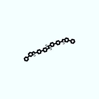 c1ccc(-c2ccc3cc(-c4ccc(-c5ccc6c(c5)sc5c7ccc(-c8ccc(-c9cc%10ccc(-c%11ccccc%11)cc%10s9)cc8)cc7sc65)cc4)sc3c2)cc1